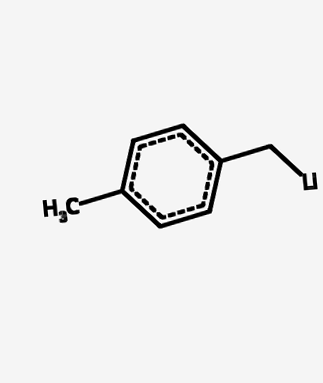 [Li][CH2]c1ccc(C)cc1